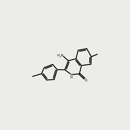 Cc1ccc(-c2[nH]c(=O)c3cc(C)ccc3c2N)cc1